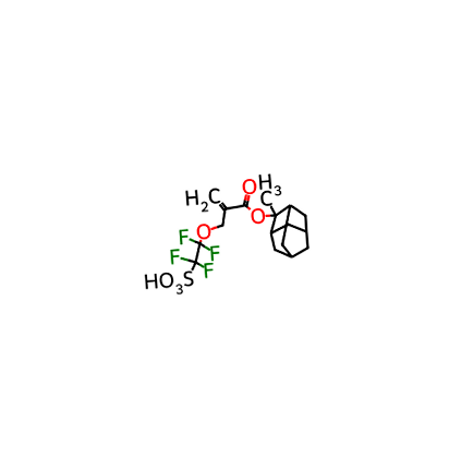 C=C(COC(F)(F)C(F)(F)S(=O)(=O)O)C(=O)OC1(C)C2CC3CC(C2)CC1C3